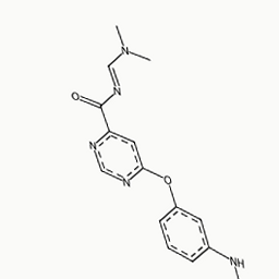 CN(C)C=NC(=O)c1cc(Oc2cccc(NC(=O)O)c2)ncn1